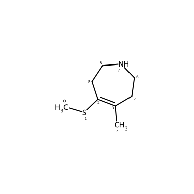 CSC1=C(C)CCNCC1